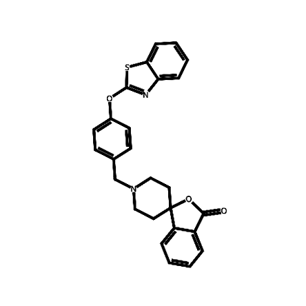 O=C1OC2(CCN(Cc3ccc(Oc4nc5ccccc5s4)cc3)CC2)c2ccccc21